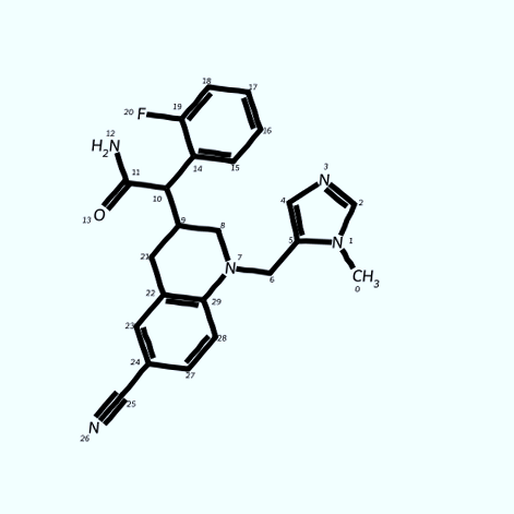 Cn1cncc1CN1CC(C(C(N)=O)c2ccccc2F)Cc2cc(C#N)ccc21